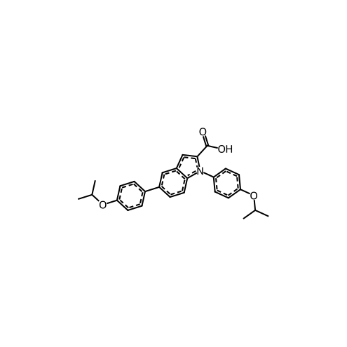 CC(C)Oc1ccc(-c2ccc3c(c2)cc(C(=O)O)n3-c2ccc(OC(C)C)cc2)cc1